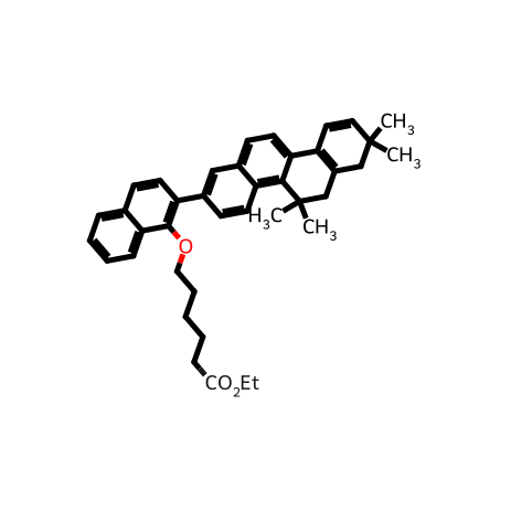 CCOC(=O)CCCCCOc1c(-c2ccc3c4c(ccc3c2)C2=C(CC(C)(C)C=C2)CC4(C)C)ccc2ccccc12